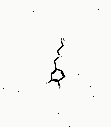 NCCNCc1ccc(F)c(Cl)c1